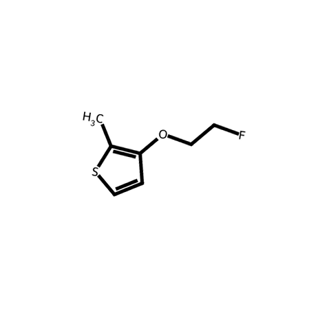 Cc1sccc1OCCF